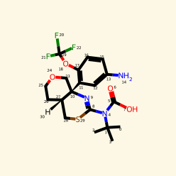 CC(C)(C)N(C(=O)O)C1=N[C@@]2(c3cc(N)ccc3OC(F)(F)F)COCC[C@H]2CS1